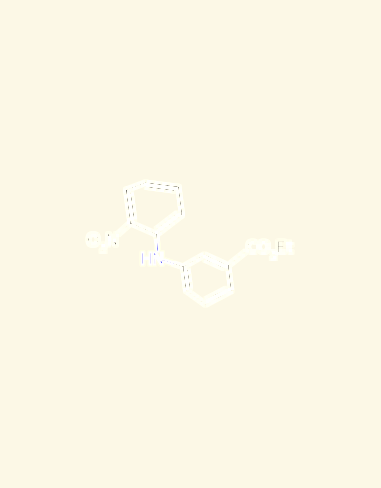 CCOC(=O)c1cccc(Nc2ccccc2[N+](=O)[O-])c1